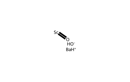 [BaH+].[OH-].[O]=[Sc]